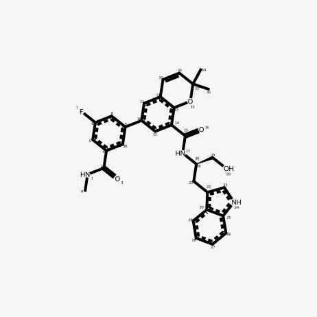 CNC(=O)c1cc(F)cc(-c2cc3c(c(C(=O)N[C@@H](CO)Cc4c[nH]c5ccccc45)c2)OC(C)(C)C=C3)c1